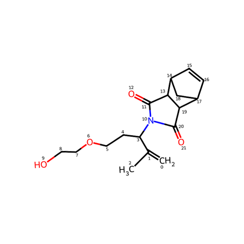 C=C(C)C(CCOCCO)N1C(=O)C2C3C=CC(C3)C2C1=O